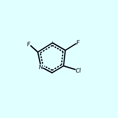 Fc1[c]c(F)c(Cl)cn1